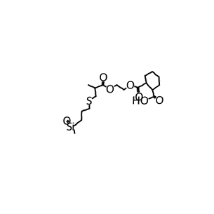 CC(CSCCC[Si](C)=O)C(=O)OCCOC(=O)C1CCCCC1C(=O)O